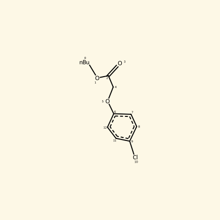 CCCCOC(=O)COc1ccc(Cl)cc1